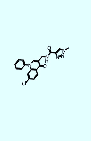 Cn1cc(C(=O)NCc2cn(-c3ccccc3)c3cc(Cl)ccc3c2=O)nn1